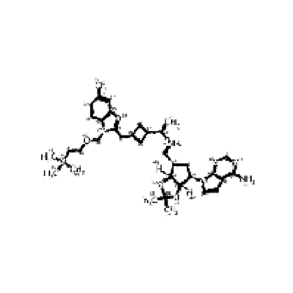 CC(NC[C@H]1C[C@@H](n2ccc3c(N)ncnc32)[C@@H]2OC(C)(C)O[C@H]12)C1CC(Cc2nc3cc(C(F)(F)F)ccc3n2COCC[Si](C)(C)C)C1